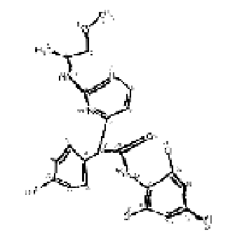 COC[C@H](C)Nc1nccc(N(C(=O)Nc2c(Cl)cc(Cl)cc2Cl)c2ccc(F)cc2)n1